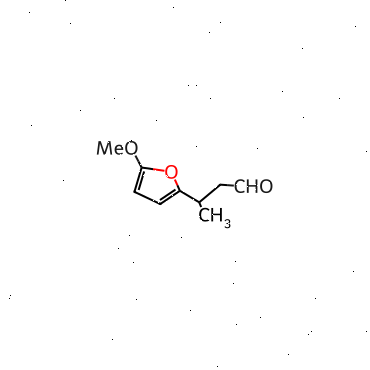 COc1ccc(C(C)CC=O)o1